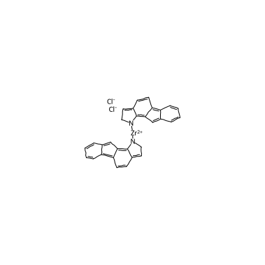 C1=c2ccc3c(c2[N]([Zr+2][N]2CC=c4ccc5c(c42)C=c2ccccc2=5)C1)C=c1ccccc1=3.[Cl-].[Cl-]